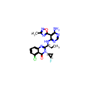 CC[C@H](Nc1ncnc(N)c1-c1nc(C)no1)c1nc2cccc(Cl)c2c(=O)n1[C@@H]1C[C@@H]1F